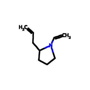 C=CCC1CCCN1C=C